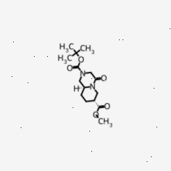 COC(=O)[C@@H]1CC[C@H]2CN(C(=O)OC(C)(C)C)CC(=O)N2C1